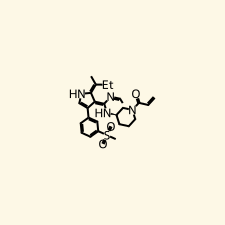 C=CC(=O)N1CCC[C@@H](NC(/N=C\C)=c2\c(-c3cccc(S(C)(=O)=O)c3)c[nH]\c2=C(/C)CC)C1